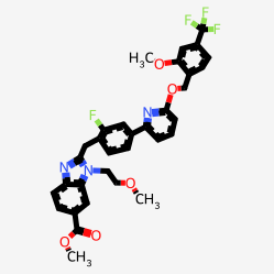 COCCn1c(Cc2ccc(-c3cccc(OCc4ccc(C(F)(F)F)cc4OC)n3)cc2F)nc2ccc(C(=O)OC)cc21